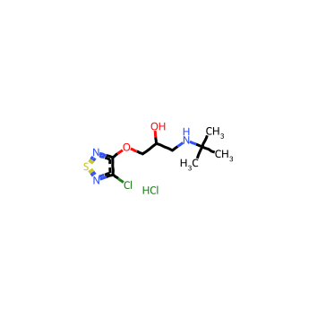 CC(C)(C)NCC(O)COc1nsnc1Cl.Cl